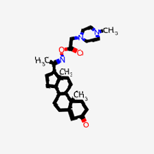 CC(=NOC(=O)CN1CCN(C)CC1)C1CCC2C3CCC4=CC(=O)CCC4(C)C3CCC12C